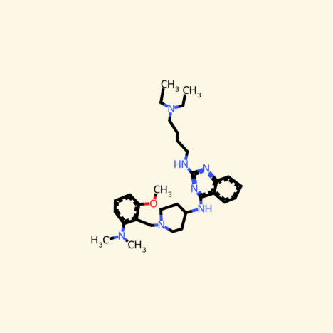 CCN(CC)CCCCNc1nc(NC2CCN(Cc3c(OC)cccc3N(C)C)CC2)c2ccccc2n1